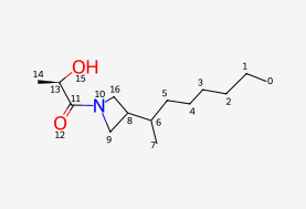 CCCCCCC(C)C1CN(C(=O)[C@@H](C)O)C1